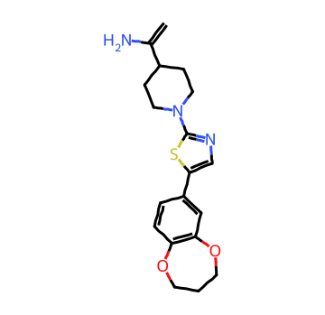 C=C(N)C1CCN(c2ncc(-c3ccc4c(c3)OCCCO4)s2)CC1